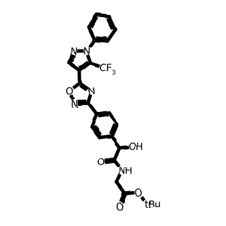 CC(C)(C)OC(=O)CNC(=O)C(O)c1ccc(-c2noc(-c3cnn(-c4ccccc4)c3C(F)(F)F)n2)cc1